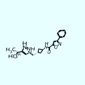 C[C@@H](O)C1=CN(C[C@H]2C[C@H](NC(=O)c3cc(-c4ccccc4)no3)C2)NN1